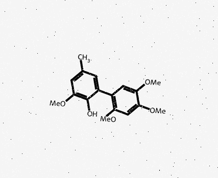 COc1cc(OC)c(-c2cc(C)cc(OC)c2O)cc1OC